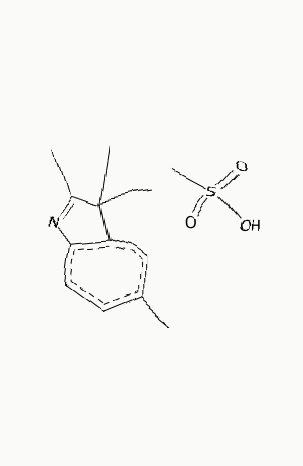 CC1=Nc2ccc(C)cc2C1(C)C.CS(=O)(=O)O